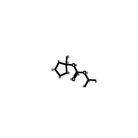 CC(C)OC(=O)OC1(C)CCCC1